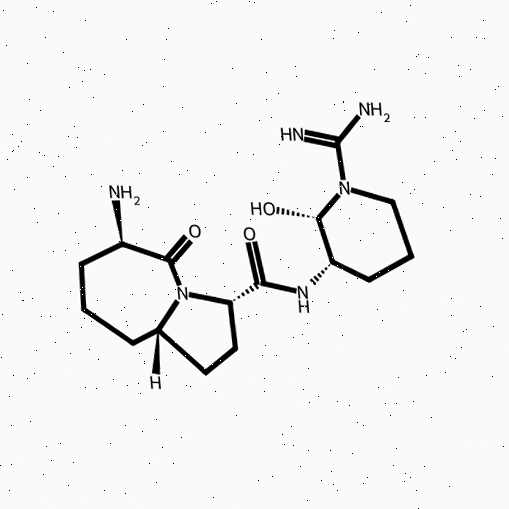 N=C(N)N1CCC[C@H](NC(=O)[C@@H]2CC[C@@H]3CCC[C@@H](N)C(=O)N32)[C@@H]1O